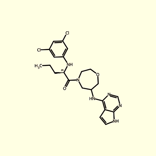 CCC[C@@H](Nc1cc(Cl)cc(Cl)c1)C(=O)N1CCOCC(Nc2ncnc3[nH]ccc23)C1